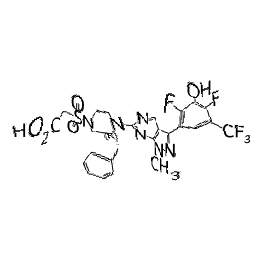 Cn1nc(-c2cc(C(F)(F)F)c(F)c(O)c2F)c2cnc(N3CCN(S(=O)(=O)CC(=O)O)C[C@H]3Cc3ccccc3)nc21